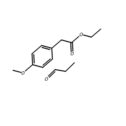 CCC=O.CCOC(=O)Cc1ccc(OC)cc1